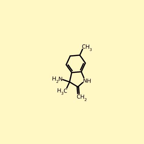 C=C1NC2=CC(C)CC=C2C1(C)N